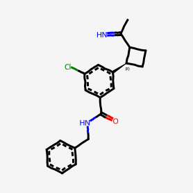 CC(=N)C1CC[C@H]1c1cc(Cl)cc(C(=O)NCc2ccccc2)c1